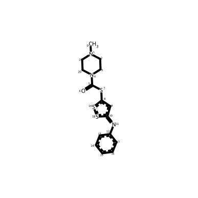 CN1CCN(C(=O)Sc2cc(=Nc3ccccc3)ss2)CC1